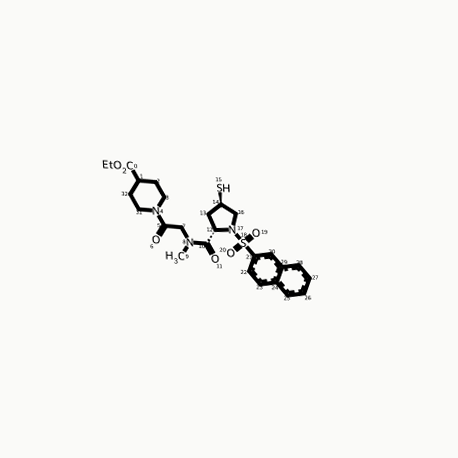 CCOC(=O)C1CCN(C(=O)CN(C)C(=O)[C@@H]2C[C@@H](S)CN2S(=O)(=O)c2ccc3ccccc3c2)CC1